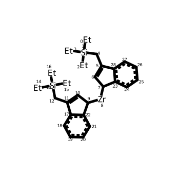 CC[Si](CC)(CC)CC1=C[CH]([Zr][CH]2C=C(C[Si](CC)(CC)CC)c3ccccc32)c2ccccc21